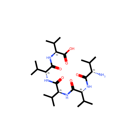 CC(C)[C@H](N)C(=O)N[C@@H](C(=O)N[C@H](C(=O)N[C@@H](C(=O)N[C@H](C(=O)O)C(C)C)C(C)C)C(C)C)C(C)C